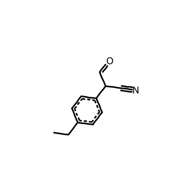 CCc1ccc(C(C#N)C=O)cc1